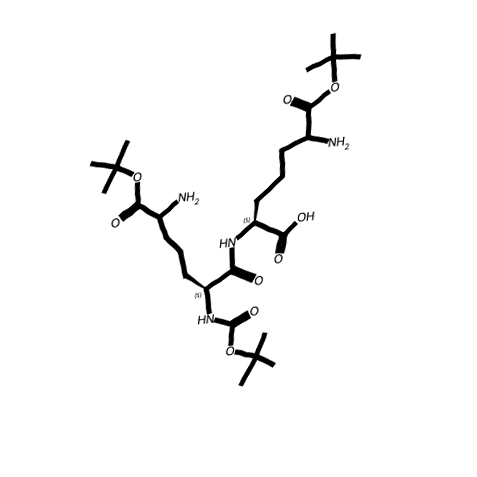 CC(C)(C)OC(=O)N[C@@H](CCCC(N)C(=O)OC(C)(C)C)C(=O)N[C@@H](CCCC(N)C(=O)OC(C)(C)C)C(=O)O